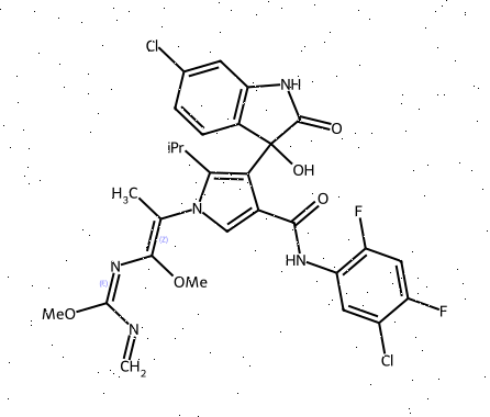 C=N/C(=N\C(OC)=C(/C)n1cc(C(=O)Nc2cc(Cl)c(F)cc2F)c(C2(O)C(=O)Nc3cc(Cl)ccc32)c1C(C)C)OC